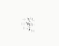 C#C[C@]1(O)[C@H](O)C[C@H]2[C@@H]3[C@H](O)CC4=C(O)[C@@H](OC(C)=O)CC[C@]4(C)[C@H]3CC[C@@]21C